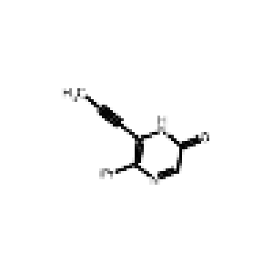 CC#Cc1[nH]c(=O)cnc1C(C)C